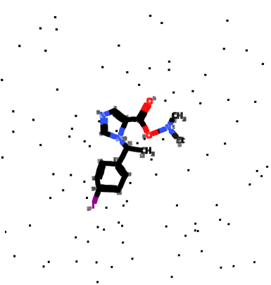 CCN(C)OC(=O)c1cncn1C(C)c1ccc(I)cc1